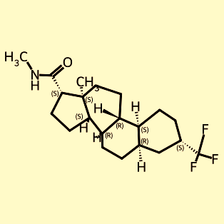 CNC(=O)[C@H]1CC[C@H]2[C@@H]3CC[C@@H]4C[C@@H](C(F)(F)F)CC[C@@H]4[C@H]3CC[C@]12C